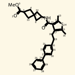 COC(=O)C1CC2(CC(NC(=O)c3c(C)sc(C)c3CCc3ccc(-c4ccccc4)cc3)C2)C1